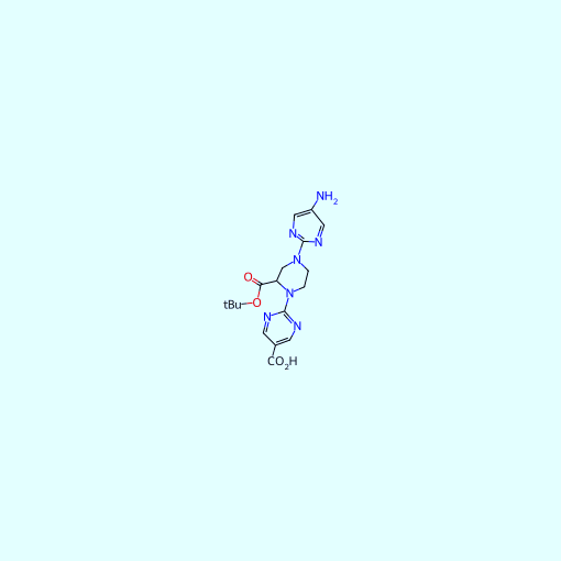 CC(C)(C)OC(=O)C1CN(c2ncc(N)cn2)CCN1c1ncc(C(=O)O)cn1